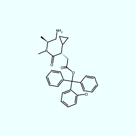 C[C@@H](CN)N(C)C(=O)[C@@H](CC(=O)OC(c1ccccc1)(c1ccccc1)c1ccccc1Cl)C1CC1